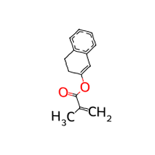 C=C(C)C(=O)OC1=Cc2ccccc2CC1